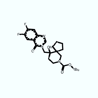 CC(C)(C)OC(=O)N1CCC(O)(Cn2cnc3cc(F)c(F)cc3c2=O)C2(CCCC2)C1